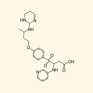 CC(CCOc1ccc(S(=O)(=O)C(CC(=O)O)Nc2cccnc2)cc1)NC1N=CCCN1